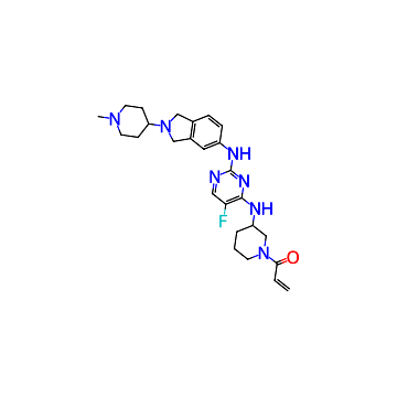 C=CC(=O)N1CCCC(Nc2nc(Nc3ccc4c(c3)CN(C3CCN(C)CC3)C4)ncc2F)C1